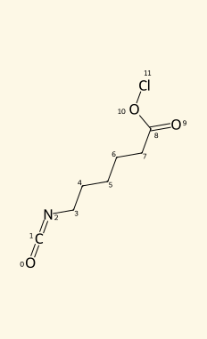 O=C=NCCCCCC(=O)OCl